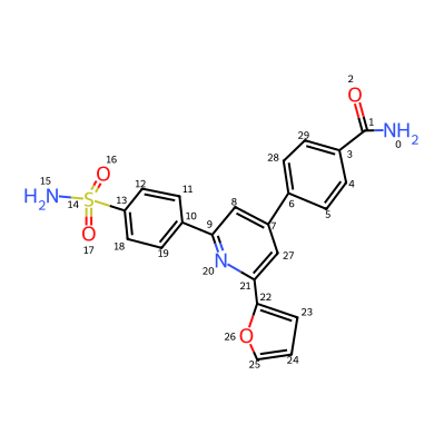 NC(=O)c1ccc(-c2cc(-c3ccc(S(N)(=O)=O)cc3)nc(-c3ccco3)c2)cc1